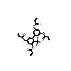 C=CC(=O)Oc1cc(OC(=O)C=C)cc(-c2cc(OC(=O)C=C)cc(OC(=O)C=C)c2C(F)(F)F)c1